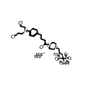 O=C(CCCc1ccc(N(CCCl)CCCl)cc1)N1CCN(CCCC(O)(P(=O)([O-])[O-])P(=O)(O)O)CC1.[Na+].[Na+]